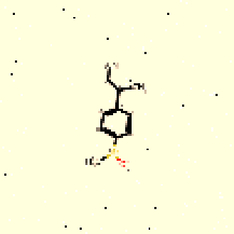 CC(CC#N)c1ccc([S+](C)[O-])cc1